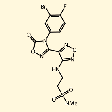 CNS(=O)(=O)CCNc1nonc1-c1noc(=O)n1-c1ccc(F)c(Br)c1